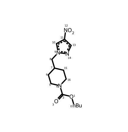 CCCCOC(=O)N1CCC(Cn2cc([N+](=O)[O-])cn2)CC1